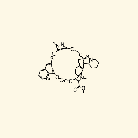 COC(=O)c1c2c3ccc(F)c(c3n1C)-c1c(nn3c1CCCC3)CSCc1cc(n(C)n1)CSc1cc(c3ncccc3c1)OCCC2